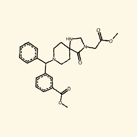 COC(=O)CN1CNC2(CCN(C(c3ccccc3)c3cccc(C(=O)OC)c3)CC2)C1=O